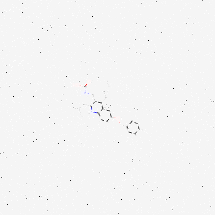 CCCCc1c(CNC(=O)O)c(CC(C)C)nc2ccc(OCc3ccccc3)cc12